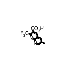 Cc1cnc2nc(C(F)(F)F)c(C(=O)O)cc2c1